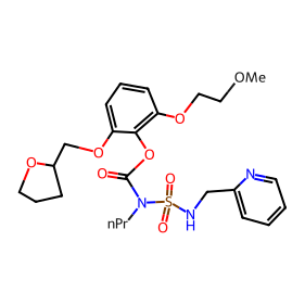 CCCN(C(=O)Oc1c(OCCOC)cccc1OCC1CCCO1)S(=O)(=O)NCc1ccccn1